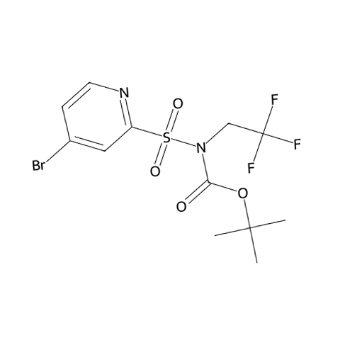 CC(C)(C)OC(=O)N(CC(F)(F)F)S(=O)(=O)c1cc(Br)ccn1